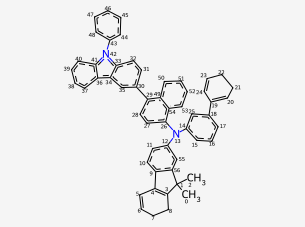 CC1(C)C2=C(C=CCC2)c2ccc(N(c3cccc(C4=CCCC=C4)c3)c3ccc(-c4ccc5c(c4)c4ccccc4n5-c4ccccc4)c4ccccc34)cc21